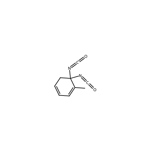 CC1=CC=CCC1(N=C=O)N=C=O